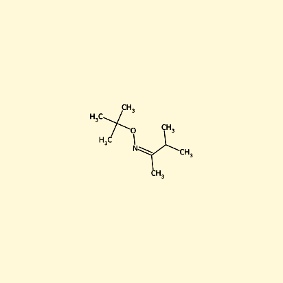 CC(=NOC(C)(C)C)C(C)C